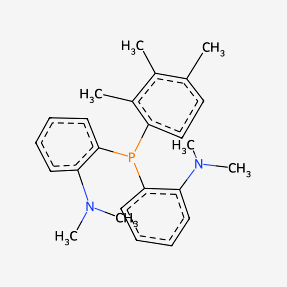 Cc1ccc(P(c2ccccc2N(C)C)c2ccccc2N(C)C)c(C)c1C